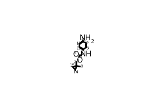 CC1(COC(=O)Nc2ccc(N)cc2)CC1